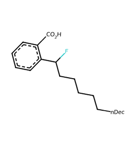 CCCCCCCCCCCCCCCC(F)c1ccccc1C(=O)O